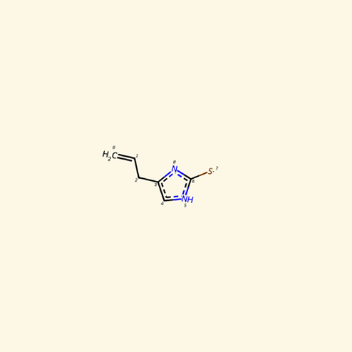 C=CCc1c[nH]c([S])n1